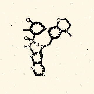 Cc1c(Cl)cccc1S(=O)(=O)Nc1nc2ncncc2cc1OCc1ccc2c(c1)N(C)CCO2